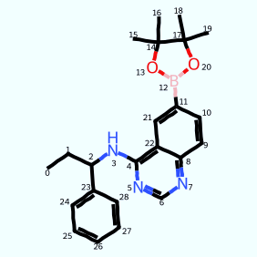 CCC(Nc1ncnc2ccc(B3OC(C)(C)C(C)(C)O3)cc12)c1ccccc1